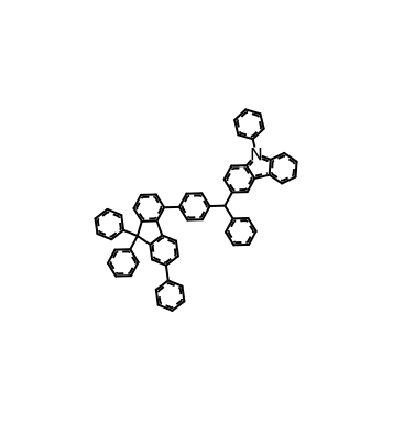 c1ccc(-c2ccc3c(c2)C(c2ccccc2)(c2ccccc2)c2cccc(-c4ccc(C(c5ccccc5)c5ccc6c(c5)c5ccccc5n6-c5ccccc5)cc4)c2-3)cc1